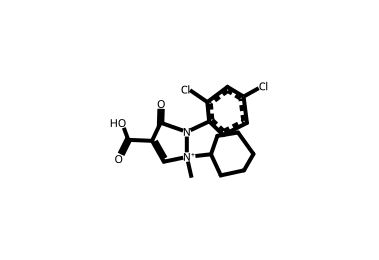 C[N+]1(C2CCCCC2)C=C(C(=O)O)C(=O)N1c1ccc(Cl)cc1Cl